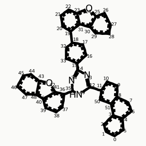 c1ccc2c(c1)ccc1ccc(C3=NC(c4ccc(-c5cccc6oc7ccccc7c56)cc4)=NC(c4cccc5c4oc4ccccc45)N3)cc12